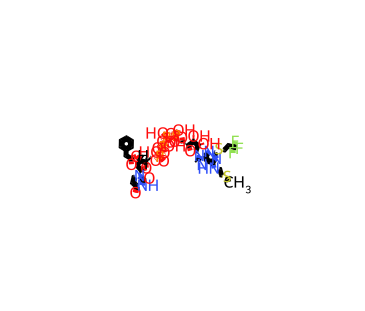 CSCCNc1nc(SCCC(F)(F)F)nc2c1ncn2[C@@H]1O[C@H](COP(=O)(O)OP(=O)(O)OP(=O)(O)OP(=O)(O)OC[C@H]2O[C@@H](n3ccc(=O)[nH]c3=O)[C@@H]3OC(Cc4ccccc4)O[C@@H]32)[C@@H](O)[C@H]1O